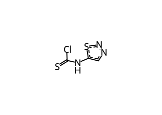 S=C(Cl)Nc1cnns1